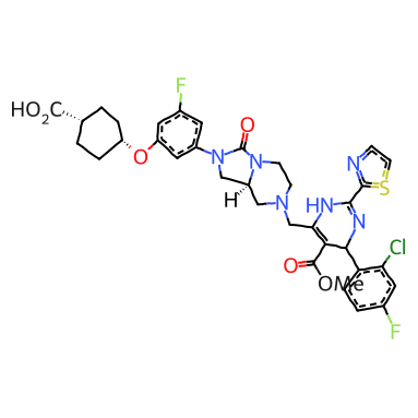 COC(=O)C1=C(CN2CCN3C(=O)N(c4cc(F)cc(O[C@H]5CC[C@@H](C(=O)O)CC5)c4)C[C@@H]3C2)NC(c2nccs2)=NC1c1ccc(F)cc1Cl